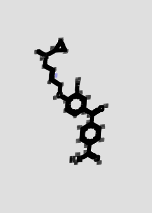 CN(C/C=C/COc1ccc(C(=O)c2ccc(C(N)=O)cc2)cc1F)C1CC1